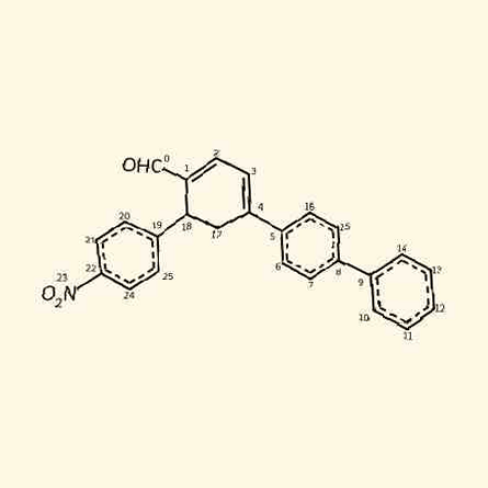 O=CC1=CC=C(c2ccc(-c3ccccc3)cc2)CC1c1ccc([N+](=O)[O-])cc1